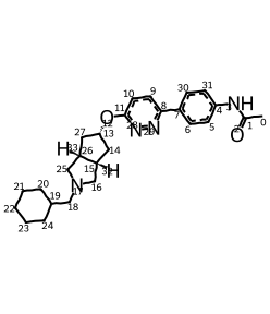 CC(=O)Nc1ccc(-c2ccc(O[C@@H]3C[C@@H]4CN(CC5CCCCC5)C[C@@H]4C3)nn2)cc1